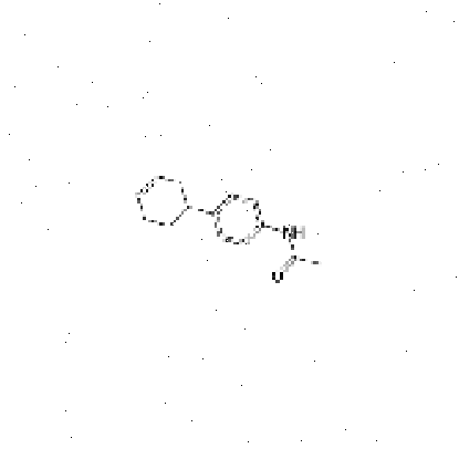 CC(=O)Nc1ccc(C2CC=CCC2)cc1